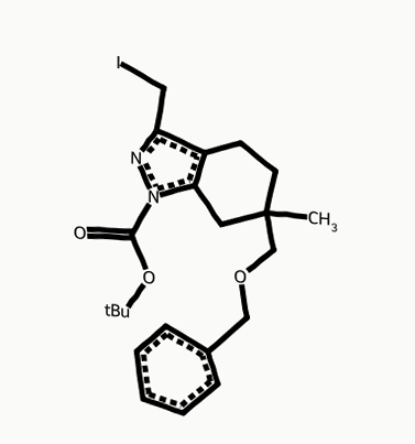 CC1(COCc2ccccc2)CCc2c(CI)nn(C(=O)OC(C)(C)C)c2C1